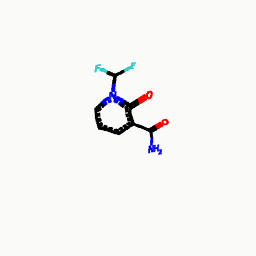 NC(=O)c1cccn(C(F)F)c1=O